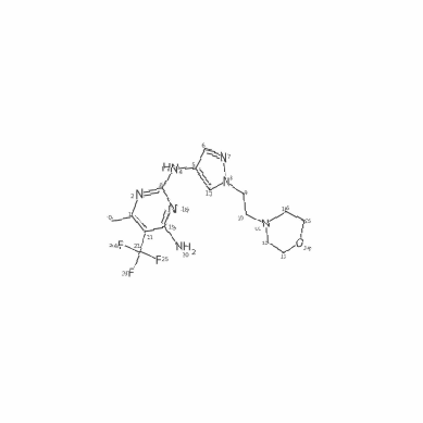 Cc1nc(Nc2cnn(CCN3CCOCC3)c2)nc(N)c1C(F)(F)F